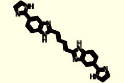 C(/C=C/c1nc2cc(-c3ncc[nH]3)ccc2[nH]1)=C\c1nc2cc(-c3ncc[nH]3)ccc2[nH]1